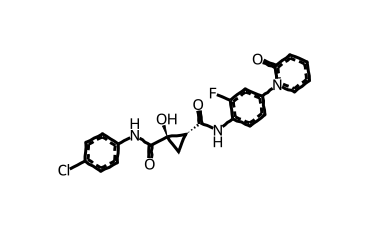 O=C(Nc1ccc(-n2ccccc2=O)cc1F)[C@@H]1C[C@]1(O)C(=O)Nc1ccc(Cl)cc1